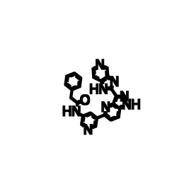 O=C(Cc1ccccc1)Nc1cncc(-c2ccc3[nH]nc(-c4nc5cnccc5[nH]4)c3n2)c1